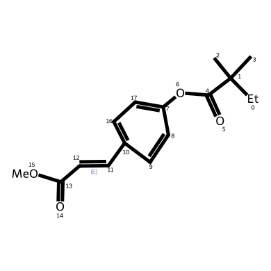 CCC(C)(C)C(=O)Oc1ccc(/C=C/C(=O)OC)cc1